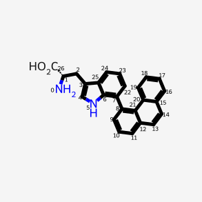 N[C@@H](Cc1c[nH]c2c(-c3cccc4ccc5ccccc5c34)cccc12)C(=O)O